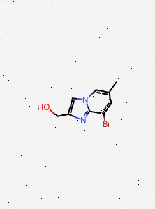 Cc1cc(Br)c2nc(CO)cn2c1